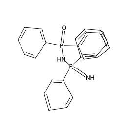 N=P(NP(=O)(c1ccccc1)c1ccccc1)(c1ccccc1)c1ccccc1